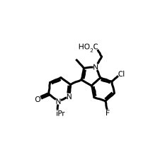 Cc1c(-c2ccc(=O)n(C(C)C)n2)c2cc(F)cc(Cl)c2n1CC(=O)O